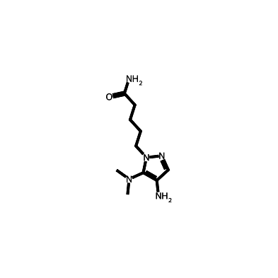 CN(C)c1c(N)cnn1CCCCC(N)=O